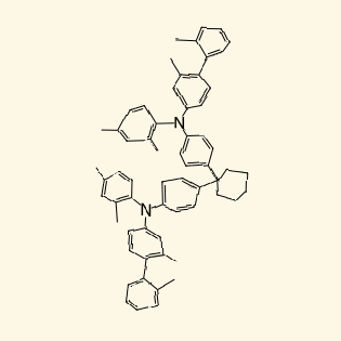 Cc1ccc(N(c2ccc(C3(c4ccc(N(c5ccc(-c6ccccc6C)c(C)c5)c5ccc(C)cc5C)cc4)CCCCC3)cc2)c2ccc(-c3ccccc3C)c(C)c2)c(C)c1